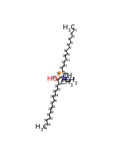 CCCCCCCCCCCCCCCC[P-]C(C(O)CCCCCCCCCCCCCCCC)[N+](C)(C)C